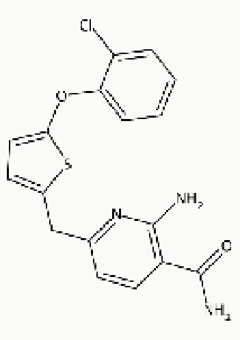 NC(=O)c1ccc(Cc2ccc(Oc3ccccc3Cl)s2)nc1N